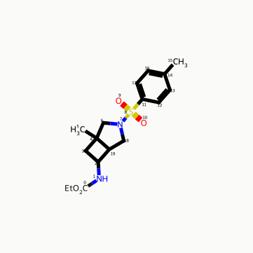 CCOC(=O)NC1CC2(C)CN(S(=O)(=O)c3ccc(C)cc3)CC12